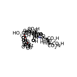 CC[C@@]1(OC(=O)OCCSSC[C@H](NC(=O)[C@H](CC(=O)O)NC(=O)[C@@H](N)CNC(=O)[C@H](Cc2ccccc2)NC(=O)[C@H](Cc2ccccc2)NC(=O)/C=C/NC(=O)CC[C@H](NC(=O)N[C@@H](CCC(=O)O)C(=O)O)C(=O)O)C(=O)O)C(=O)OCc2c1cc1n(c2=O)Cc2cc3ccccc3nc2-1